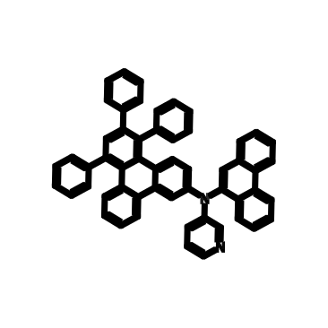 c1ccc(-c2cc(-c3ccccc3)c3c4ccccc4c4cc(N(c5cccnc5)c5cc6ccccc6c6ccccc56)ccc4c3c2-c2ccccc2)cc1